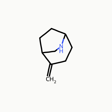 C=C1CCC2CCC1CN2